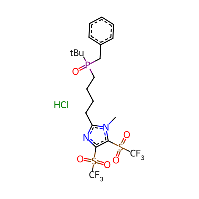 Cl.Cn1c(CCCCP(=O)(Cc2ccccc2)C(C)(C)C)nc(S(=O)(=O)C(F)(F)F)c1S(=O)(=O)C(F)(F)F